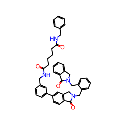 O=C(CCCCC(=O)NCc1cccc(-c2ccc3c(c2)CN(Cc2ccccc2CN2Cc4ccccc4C2=O)C3=O)c1)NCc1ccccc1